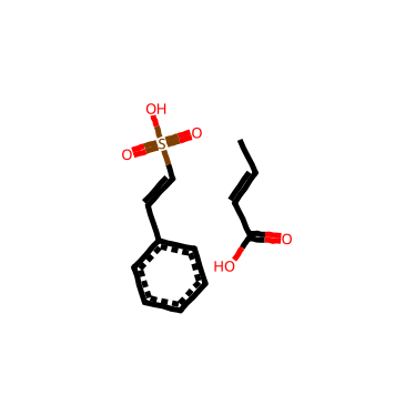 CC=CC(=O)O.O=S(=O)(O)C=Cc1ccccc1